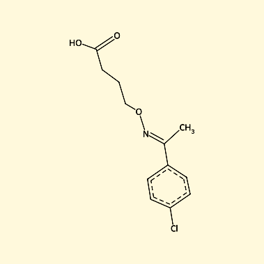 CC(=NOCCCC(=O)O)c1ccc(Cl)cc1